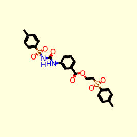 Cc1ccc(S(=O)(=O)CCOC(=O)c2cccc(NC(=O)NS(=O)(=O)c3ccc(C)cc3)c2)cc1